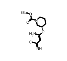 CC(C)(C)OC(=O)N1CCC[C@H](O/C(N)=C/C(=N)Cl)C1